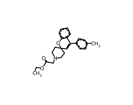 CCOC(=O)CN1CCC2(C=C(c3ccc(C)cc3)c3ccccc3O2)CC1